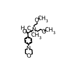 COCCN(CCOC)C(C)(C)C(=O)c1ccc(N2CCOCC2)cc1